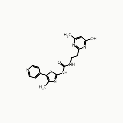 Cc1cc(O)nc(CCNC(=O)Nc2nc(C)c(-c3ccncc3)s2)n1